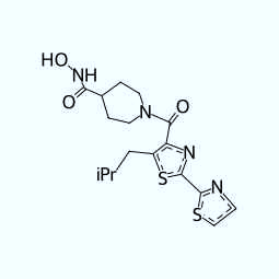 CC(C)Cc1sc(-c2nccs2)nc1C(=O)N1CCC(C(=O)NO)CC1